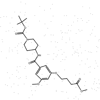 COC(=O)CCCOc1cc(OC)cc(C(=O)NC2CCN(C(=O)OC(C)(C)C)CC2)c1